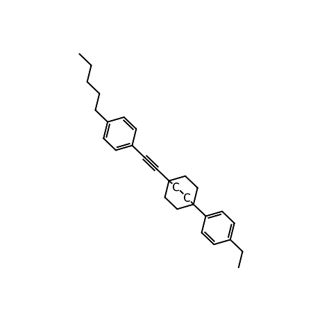 CCCCCc1ccc(C#CC23CCC(c4ccc(CC)cc4)(CC2)CC3)cc1